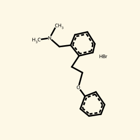 Br.CN(C)Cc1ccccc1CCOc1ccccc1